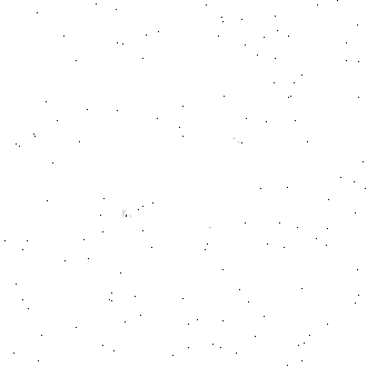 O=S(=O)(Nc1ccccc1Cl)c1ccc(Cl)c(NS(=O)(=O)c2ccccc2Br)c1